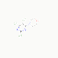 Clc1nc(Cl)c(Cl)c(N2CCOCC2)n1